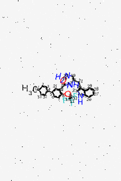 Cc1ccc(-c2ccc(OC(F)(F)F)c(C(=O)NC(CN)Cc3c[nH]c4ccccc34)c2)cc1